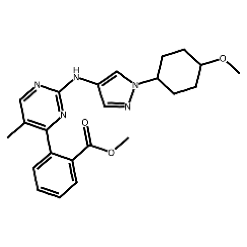 COC(=O)c1ccccc1-c1nc(Nc2cnn(C3CCC(OC)CC3)c2)ncc1C